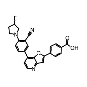 N#Cc1cc(-c2ccnc3cc(-c4ccc(C(=O)O)cc4)oc23)ccc1N1CCC(F)C1